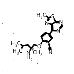 Cc1nc2c(-c3ccc(OC[C@@](C)(N)CC(C)C)c(C#N)c3)ncnc2s1